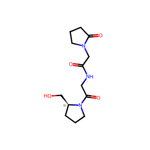 O=C(CN1CCCC1=O)NCC(=O)N1CCC[C@H]1CO